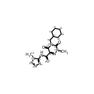 Cn1nnnc1NC(=O)c1nn(C)c(=O)n(CC2CCCCC2)c1=O